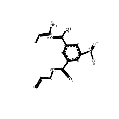 C=CCNC(=O)c1cc(C(=O)O)cc([N+](=O)[O-])c1.CC=CN